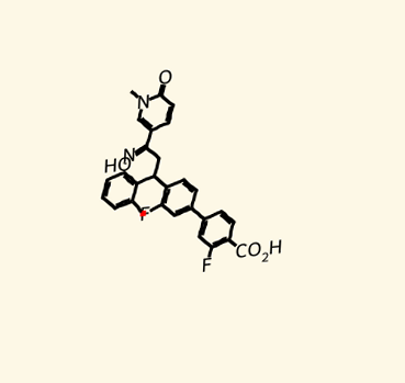 Cc1ccccc1C(C/C(=N\O)c1ccc(=O)n(C)c1)c1ccc(-c2ccc(C(=O)O)c(F)c2)cc1F